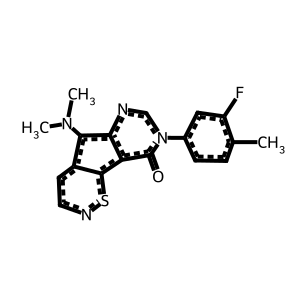 Cc1ccc(-n2cnc3c(N(C)C)c4ccnsc-4c3c2=O)cc1F